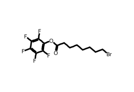 O=C(CCCCCCCBr)Oc1c(F)c(F)c(F)c(F)c1F